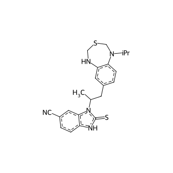 CC(C)N1CSCNc2cc(CC(C)n3c(=S)[nH]c4ccc(C#N)cc43)ccc21